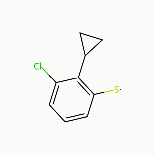 [S]c1cccc(Cl)c1C1CC1